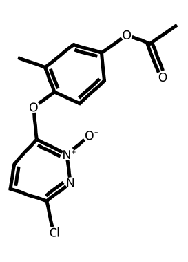 CC(=O)Oc1ccc(Oc2ccc(Cl)n[n+]2[O-])c(C)c1